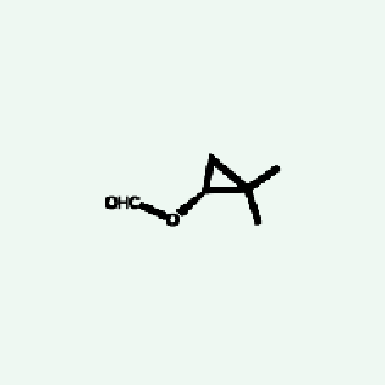 CC1(C)C[C@@H]1OC=O